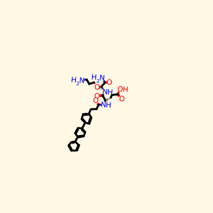 NCCCO[C@H](NC(=O)[C@H](CCC(=O)O)NC(=O)CCc1ccc(-c2ccc(-c3ccccc3)cc2)cc1)C(N)=O